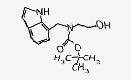 CC(C)(C)OC(=O)N(CCO)Cc1cccc2cc[nH]c12